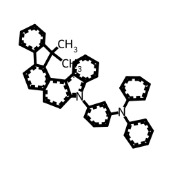 CC1(C)c2ccccc2-c2ccc3ccc4c(c5ccccc5n4-c4cccc(N(c5ccccc5)c5ccccc5)c4)c3c21